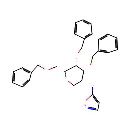 c1ccc(COC[C@H]2OC[C@@H](Nc3ccno3)[C@@H](OCc3ccccc3)[C@H]2OCc2ccccc2)cc1